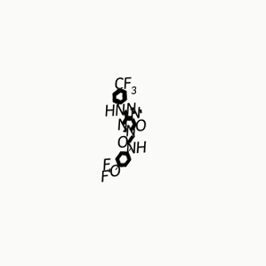 Cn1nc(Nc2ccc(C(F)(F)F)cc2)c2ncn(CC(=O)N[C@H]3CC[C@@H](OC(F)F)CC3)c(=O)c21